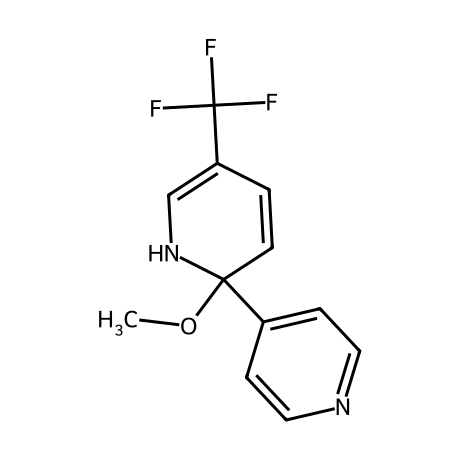 COC1(c2ccncc2)C=CC(C(F)(F)F)=CN1